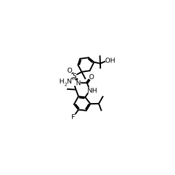 CC(C)c1cc(F)cc(C(C)C)c1NC(=O)N=[S@](N)(=O)C1(C)C=CC=C(C(C)(C)O)C1